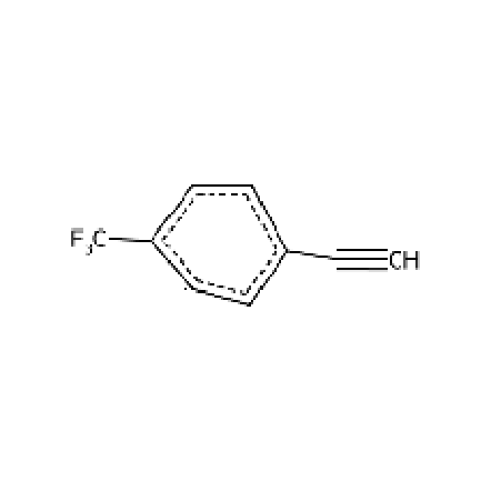 C#Cc1c[c]c(C(F)(F)F)cc1